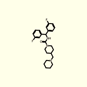 O=C(NC(c1cccc(F)c1)c1cccc(F)c1)N1CCC(CN2CCCCC2)CC1